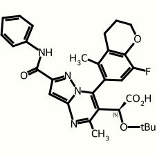 Cc1nc2cc(C(=O)Nc3ccccc3)nn2c(-c2cc(F)c3c(c2C)CCCO3)c1[C@H](OC(C)(C)C)C(=O)O